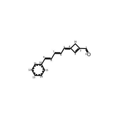 O=CC1=CC(=CC=CC=Cc2ccccc2)C1